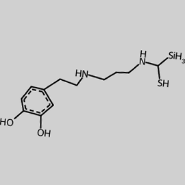 Oc1ccc(CCNCCCNC([SiH3])S)cc1O